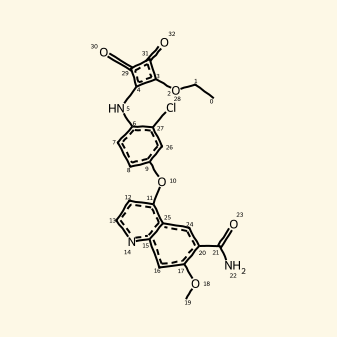 CCOc1c(Nc2ccc(Oc3ccnc4cc(OC)c(C(N)=O)cc34)cc2Cl)c(=O)c1=O